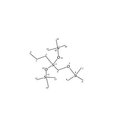 CCC[Si](CO[Si](C)(C)C)(O[Si](C)(C)C)O[Si](C)(C)C